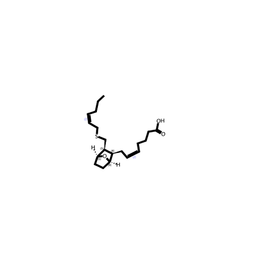 CCC/C=C\CSC[C@H]1[C@@H](C/C=C\CCCC(=O)O)[C@H]2CC[C@@H]1O2